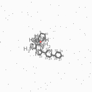 CS(=O)(=O)c1c(C2C[C@H]3CC[C@@H](C2)N3C(N)=NO)nc2c(-c3ccc(-c4ccccc4)nc3)cnn2c1N